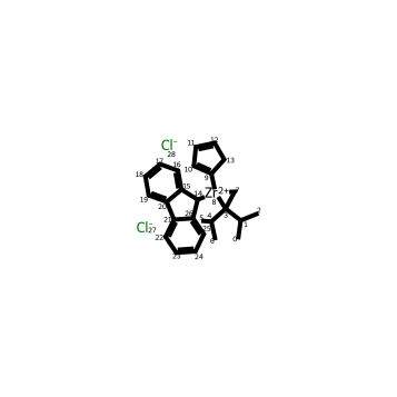 CC(C)[C]1(C(C)C)[CH2][Zr+2]1([C]1=CC=CC1)[CH]1c2ccccc2-c2ccccc21.[Cl-].[Cl-]